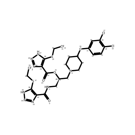 O=C(NC[C@H](CN1CCC(Oc2ccc(Cl)c(Cl)c2)CC1)OC(=O)c1nn[nH]c1SCC(F)(F)F)c1nn[nH]c1SCC(F)(F)F